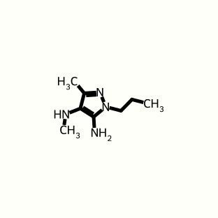 CCCn1nc(C)c(NC)c1N